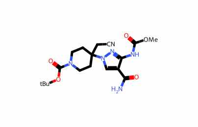 COC(=O)Nc1nn(C2(CC#N)CCN(C(=O)OC(C)(C)C)CC2)cc1C(N)=O